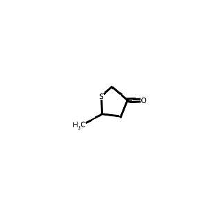 CC1CC(=O)CS1